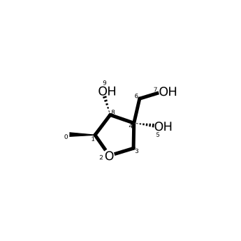 C[C@@H]1OC[C@](O)(CO)[C@H]1O